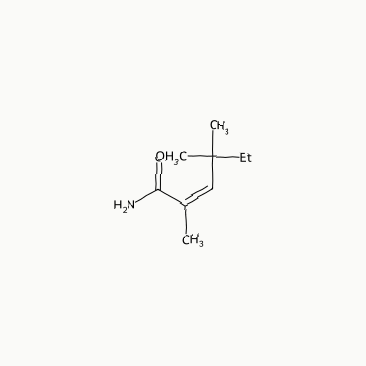 CCC(C)(C)C=C(C)C(N)=O